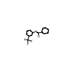 FC(F)(F)c1cccc(N=C(Cl)c2ccccc2)c1